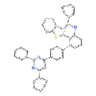 c1ccc(-c2cc(-c3ccc(-c4cccc5nc(-c6ccccc6)c6c7ccccc7sc6c45)cc3)nc(-c3ccccc3)n2)cc1